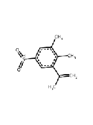 C=C(C)c1cc([SH](=O)=O)cc(C)c1C